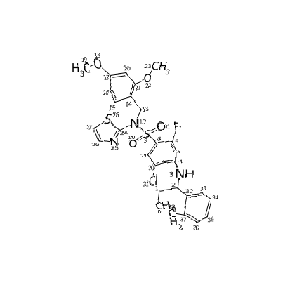 CCC(Nc1cc(F)c(S(=O)(=O)N(Cc2ccc(OC)cc2OC)c2nccs2)cc1Cl)c1ccccc1C